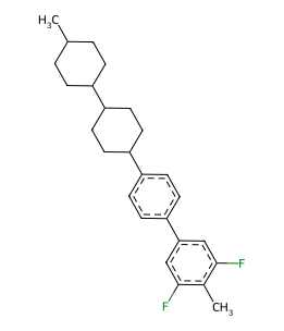 Cc1c(F)cc(-c2ccc(C3CCC(C4CCC(C)CC4)CC3)cc2)cc1F